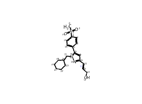 CS(=O)(=O)c1ccc(-c2cc(/C=C/CO)nn2CC2CCCCC2)cc1